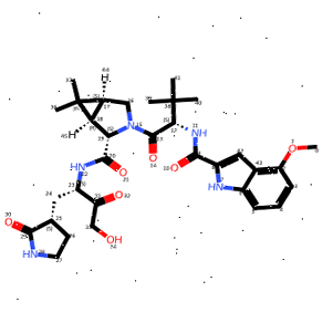 COc1cccc2[nH]c(C(=O)N[C@H](C(=O)N3C[C@H]4[C@@H]([C@H]3C(=O)N[C@@H](C[C@@H]3CCNC3=O)C(=O)CO)C4(C)C)C(C)(C)C)cc12